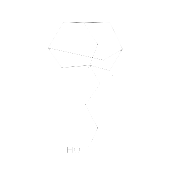 O=C(O)CCCC12CC3CC(CC(C3)C1)C2